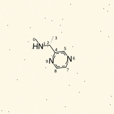 CN[C@H](C)c1cnccn1